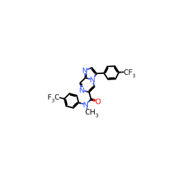 CN(C(=O)c1cn2c(-c3ccc(C(F)(F)F)cc3)cnc2cn1)c1ccc(C(F)(F)F)cc1